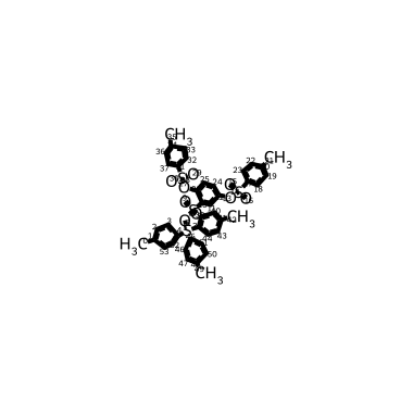 Cc1ccc(S(OS(=O)(=O)c2cc(OS(=O)(=O)c3ccc(C)cc3)ccc2OS(=O)(=O)c2ccc(C)cc2)(c2ccc(C)cc2)c2ccc(C)cc2)cc1